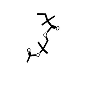 CCC(C)(C)C(=O)OCC(C)(C)OC(C)=O